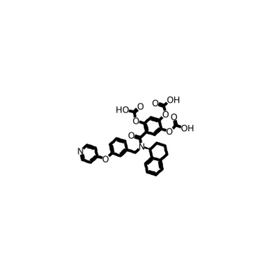 O=C(O)Oc1cc(OC(=O)O)c(C(=O)N(Cc2cccc(Oc3ccncc3)c2)[C@H]2CCCc3ccccc32)cc1OC(=O)O